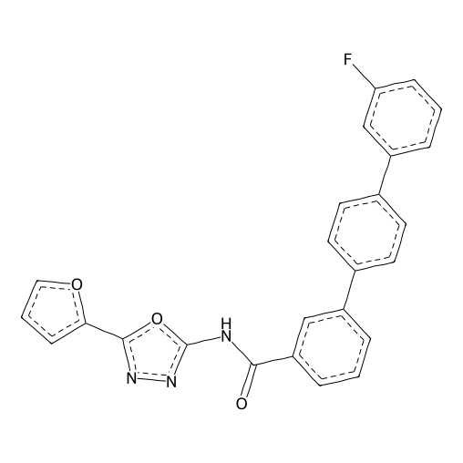 O=C(Nc1nnc(-c2ccco2)o1)c1cccc(-c2ccc(-c3cccc(F)c3)cc2)c1